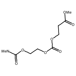 CNC(=O)OCCOC(=O)OCCC(=O)OC